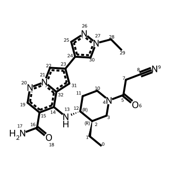 CC[C@@H]1CN(C(=O)CC#N)CC[C@H]1Nc1c(C(N)=O)cnn2cc(-c3cnn(CC)c3)cc12